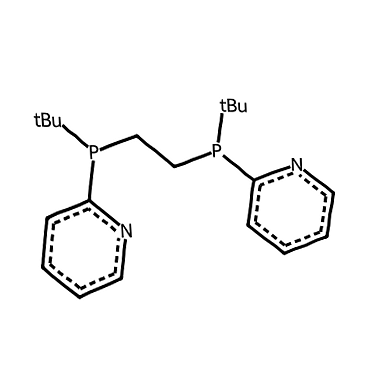 CC(C)(C)P(CCP(c1ccccn1)C(C)(C)C)c1ccccn1